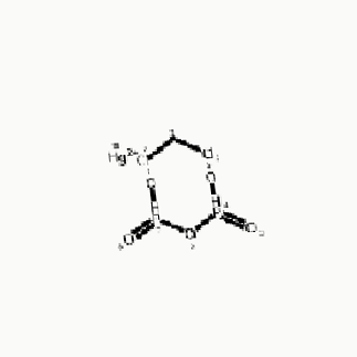 ClCCl.O=[PH]([O-])O[PH](=O)[O-].[Hg+2]